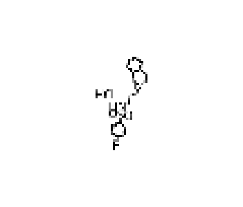 Cl.O=S(=O)(NCCCN1CCc2ccccc2C1)c1ccc(F)cc1